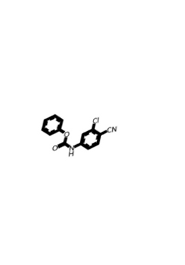 N#Cc1ccc(NC(=O)Oc2ccccc2)cc1Cl